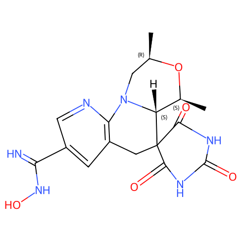 C[C@@H]1CN2c3ncc(C(=N)NO)cc3CC3(C(=O)NC(=O)NC3=O)[C@H]2[C@H](C)O1